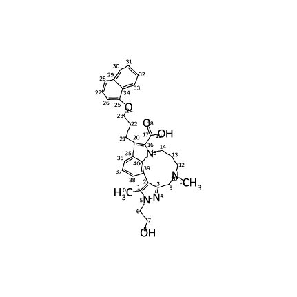 Cc1c2c(nn1CCO)CN(C)CCCn1c(C(=O)O)c(CCCOc3cccc4ccccc34)c3cccc-2c31